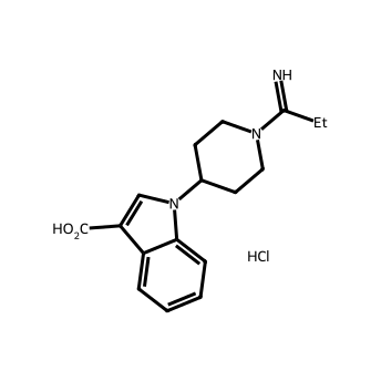 CCC(=N)N1CCC(n2cc(C(=O)O)c3ccccc32)CC1.Cl